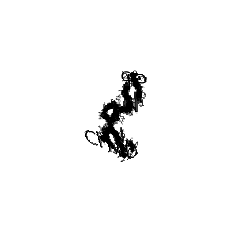 CS(=O)(=O)N1CCN(Cc2cccc(-c3cc(Cl)nc(N4CCOCC4)n3)c2)CC1